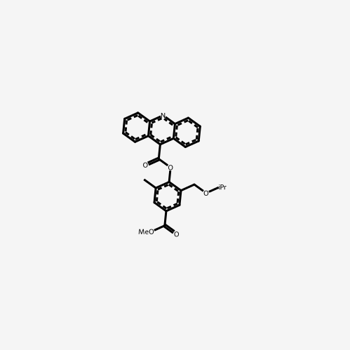 COC(=O)c1cc(C)c(OC(=O)c2c3ccccc3nc3ccccc23)c(COC(C)C)c1